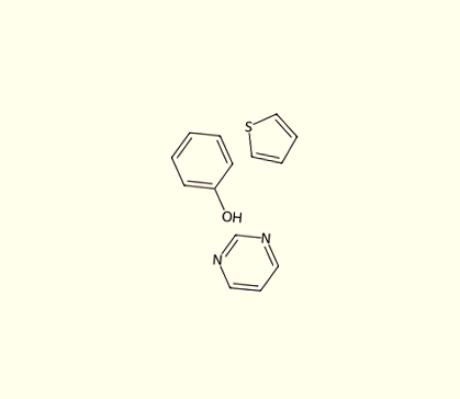 Oc1ccccc1.c1ccsc1.c1cncnc1